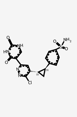 NS(=O)(=O)c1ccc([C@H]2C[C@@H]2c2cc(-c3c[nH]c(=O)[nH]c3=O)nnc2Cl)cc1